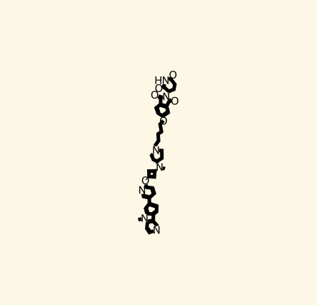 Cn1c2ccncc2c2ccc(-c3ccc(O[C@H]4C[C@H](N(C)C5CCN(CCCCCOc6ccc7c(c6)C(=O)N(C6CCC(=O)NC6=O)C7=O)CC5)C4)nc3)cc21